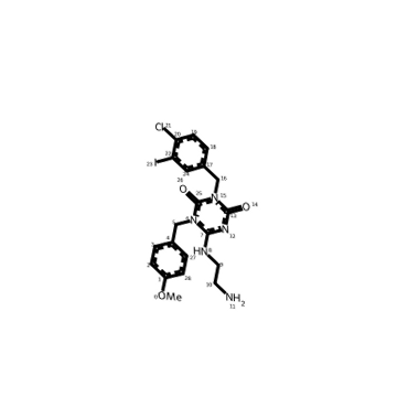 COc1ccc(Cn2c(NCCN)nc(=O)n(Cc3ccc(Cl)c(I)c3)c2=O)cc1